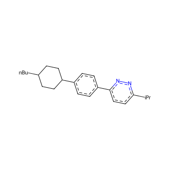 CCCCC1CCC(c2ccc(-c3ccc(C(C)C)nn3)cc2)CC1